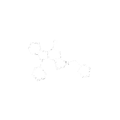 Clc1cc2c(ccn2Cc2ccccc2)c2c1c1ccccc1n2-c1ccccc1